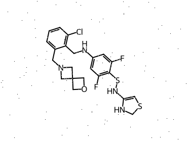 Fc1cc(NCc2c(Cl)cccc2CN2CC3(COC3)C2)cc(F)c1SNC1=CSCN1